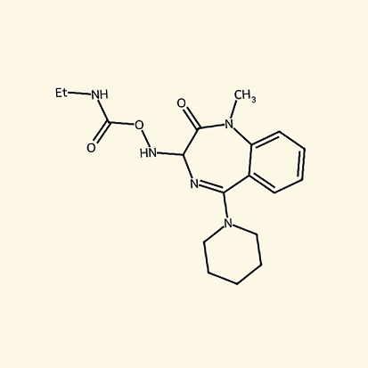 CCNC(=O)ONC1N=C(N2CCCCC2)c2ccccc2N(C)C1=O